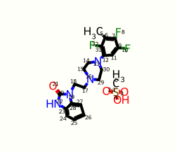 CS(=O)(=O)O.Cc1c(F)c(F)cc(N2CCN(CCn3c(=O)[nH]c4ccccc43)CC2)c1F